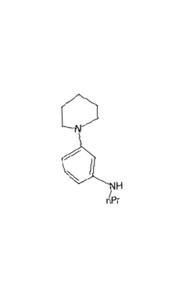 CCCNc1cccc(N2CCCCC2)c1